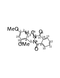 COc1ccc(Cn2c(=O)c3ccccc3c(=O)n2C)c(OC)c1